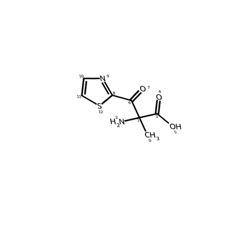 CC(N)(C(=O)O)C(=O)c1nccs1